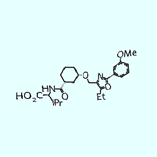 CCc1oc(-c2cccc(OC)c2)nc1CO[C@H]1CCC[C@@H](C(=O)N[C@H](C(=O)O)C(C)C)C1